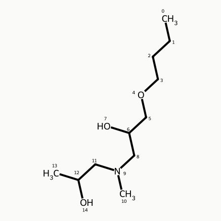 CCCCOCC(O)CN(C)CC(C)O